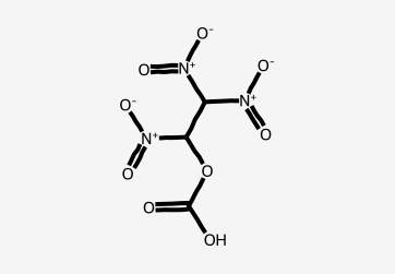 O=C(O)OC(C([N+](=O)[O-])[N+](=O)[O-])[N+](=O)[O-]